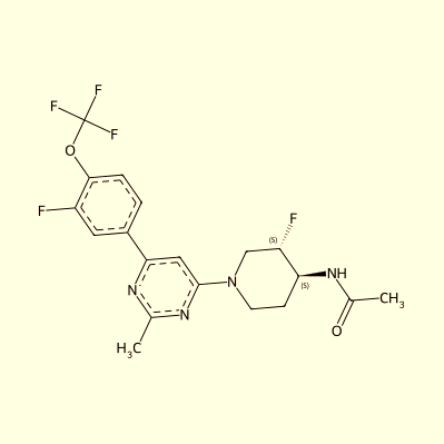 CC(=O)N[C@H]1CCN(c2cc(-c3ccc(OC(F)(F)F)c(F)c3)nc(C)n2)C[C@@H]1F